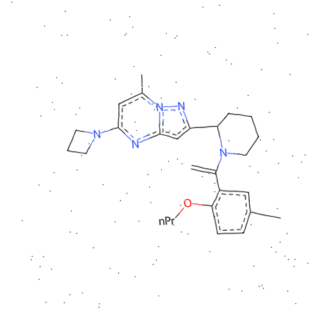 C=C(c1cc(C)ccc1OCCC)N1CCCCC1c1cc2nc(N3CCC3)cc(C)n2n1